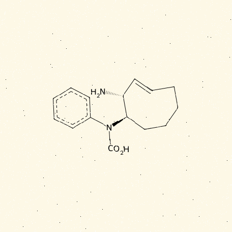 N[C@@H]1/C=C/CCCC[C@H]1N(C(=O)O)c1ccccc1